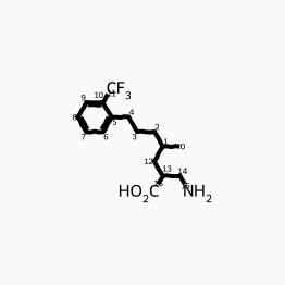 CC(CCCc1ccccc1C(F)(F)F)CC(CN)C(=O)O